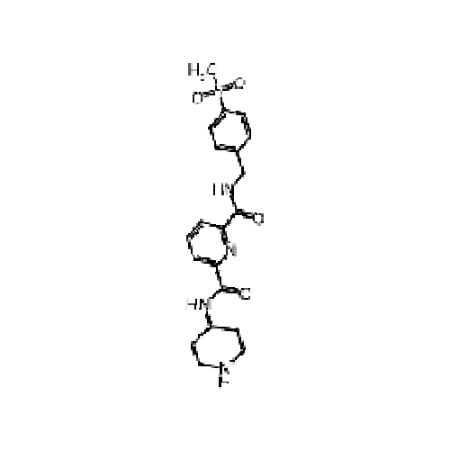 CS(=O)(=O)c1ccc(CNC(=O)c2cccc(C(=O)NC3CCNCC3)n2)cc1